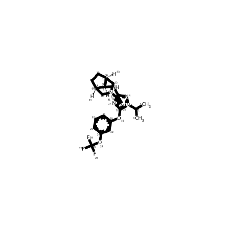 CC(C)n1nc(N[C@H]2[C@@H]3CC[C@H]2CN(C#N)C3)nc1Oc1cccc(OC(F)(F)F)c1